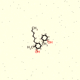 CCCCCCc1cccc(O)c1C.Cc1ccccc1O